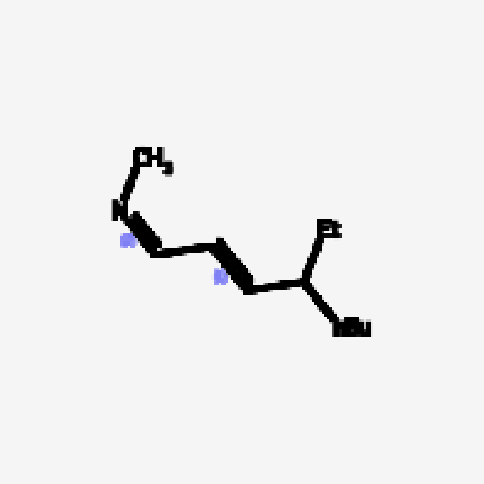 CCCCC(/C=C/C=N\C)CC